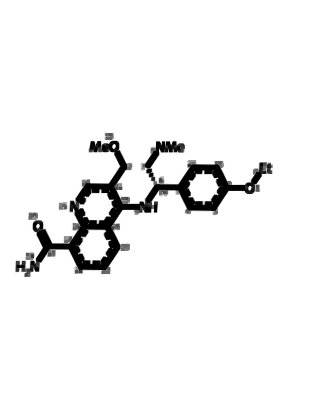 CCOc1ccc([C@@H](CNC)Nc2c(COC)cnc3c(C(N)=O)cccc23)cc1